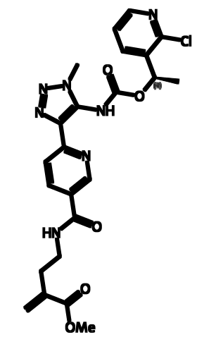 C=C(CCNC(=O)c1ccc(-c2nnn(C)c2NC(=O)O[C@H](C)c2cccnc2Cl)nc1)C(=O)OC